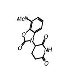 CNc1cccc2c1oc(=O)n2C1CCC(=O)NC1=O